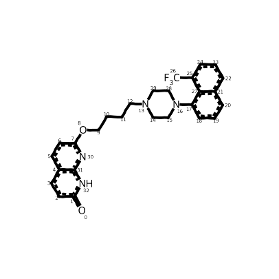 O=c1ccc2ccc(OCCCCN3CCN(c4cccc5cccc(C(F)(F)F)c45)CC3)nc2[nH]1